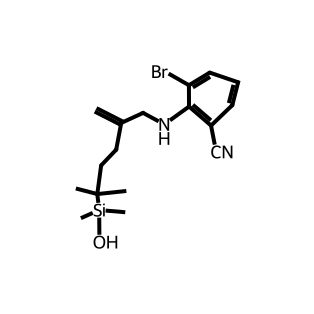 C=C(CCC(C)(C)[Si](C)(C)O)CNc1c(Br)cccc1C#N